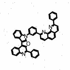 c1ccc(-c2ccc3ccc4ccc(-c5cccc(-n6c7ccccc7c7c8c(oc76)c(-c6ccccc6)nc6ccccc68)c5)nc4c3n2)cc1